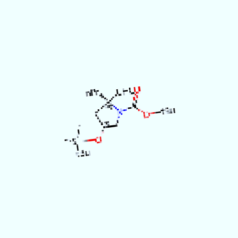 CCC[C@]1(C=O)C[C@@H](O[Si](C)(C)C(C)(C)C)CN1C(=O)OC(C)(C)C